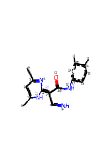 CC1=CC(C)=N/C(=C(/C=N)C(=O)Nc2ccc(C)c(C)c2)N1